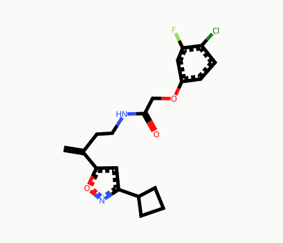 C=C(CCNC(=O)COc1ccc(Cl)c(F)c1)c1cc(C2CCC2)no1